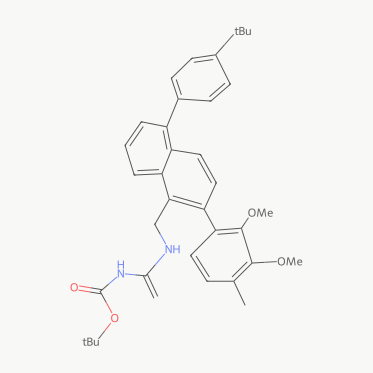 C=C(NCc1c(-c2ccc(C)c(OC)c2OC)ccc2c(-c3ccc(C(C)(C)C)cc3)cccc12)NC(=O)OC(C)(C)C